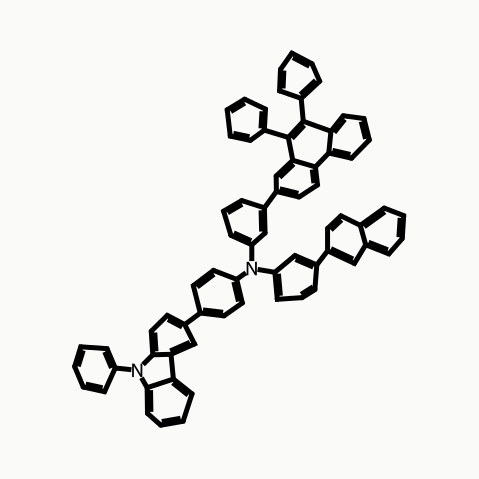 c1ccc(-c2c(-c3ccccc3)c3cc(-c4cccc(N(c5ccc(-c6ccc7c(c6)c6ccccc6n7-c6ccccc6)cc5)c5cccc(-c6ccc7ccccc7c6)c5)c4)ccc3c3ccccc23)cc1